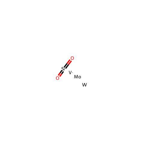 O=[Si]=O.[Mo].[V].[W]